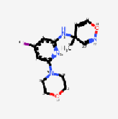 CC1(Nc2cc(I)cc(N3CCOCC3)n2)C=CON=C1